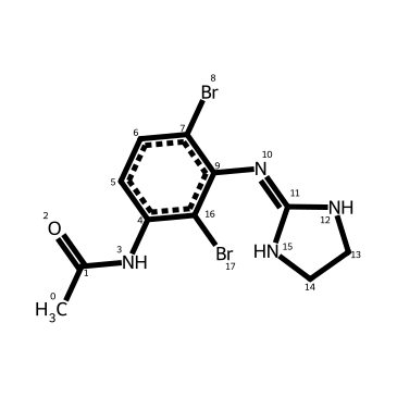 CC(=O)Nc1ccc(Br)c(N=C2NCCN2)c1Br